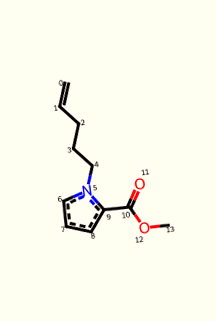 C=CCCCn1cccc1C(=O)OC